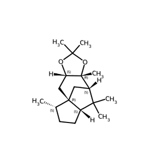 C[C@H]1CC[C@H]2C(C)(C)[C@@H]3C[C@@]12C[C@@H]1OC(C)(C)O[C@@]13C